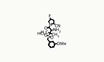 COc1cccc(CS(=O)(=O)C(C)(C)[C@H](N)C(=O)N2C[C@@H](F)C[C@H]2C#N)c1.Cl